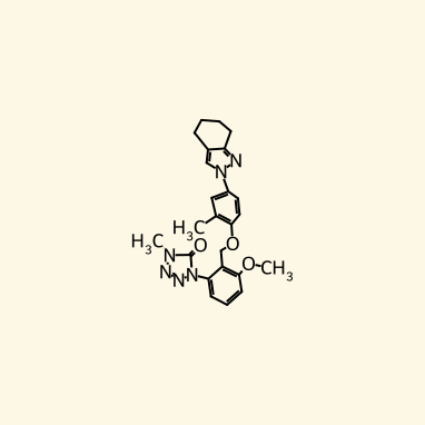 COc1cccc(-n2nnn(C)c2=O)c1COc1ccc(-n2cc3c(n2)CCCC3)cc1C